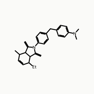 C=C1C2C(C)C=CC(CC)C2C(=C)N1c1ccc(Cc2ccc(N(C)C)cc2)cc1